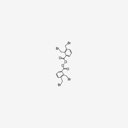 O=C(OOC(=O)c1cccc(CBr)c1CBr)c1cccc(CBr)c1CBr